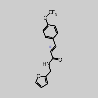 O=C(/C=C/c1ccc(OC(F)(F)F)cc1)NCc1ccco1